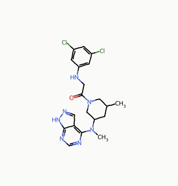 CC1CC(N(C)c2ncnc3[nH]ncc23)CN(C(=O)CNc2cc(Cl)cc(Cl)c2)C1